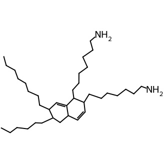 CCCCCCCCC1C=C2C(C=CC(CCCCCCCN)C2CCCCCCCN)CC1CCCCCC